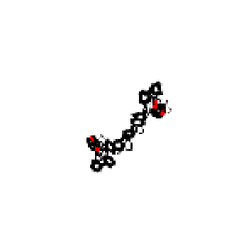 Cc1ccccc1N(c1ccc2cc3c(cc2c1)oc1cc2oc4cc5cc(N(c6ccccc6C)c6cccc7c8ccccc8n(-c8ccccc8)c67)ccc5cc4c2cc13)c1cccc2c3ccccc3n(-c3ccccc3)c12